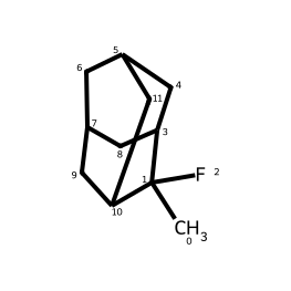 CC1(F)C2CC3CC(C2)CC1C3